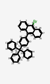 Brc1c2ccccc2c(-c2ccc(C(c3ccccc3)(c3ccccc3)c3ccccc3)cc2)c2ccccc12